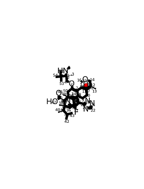 CN[C@@](C)(COC1=C2[C@H](CC[C@@H]3[C@@]4(C)COC[C@@]23C[C@H](n2ncnc2-c2ccncc2F)C4)[C@@]2(C)CC[C@](C)([C@H](C)C(C)C)[C@@H](C(=O)O)[C@]2(C)C1)C(C)(C)C